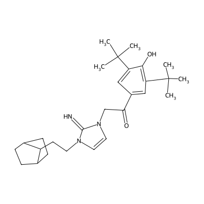 CC(C)(C)c1cc(C(=O)Cn2ccn(CCC3C4CCC3CC4)c2=N)cc(C(C)(C)C)c1O